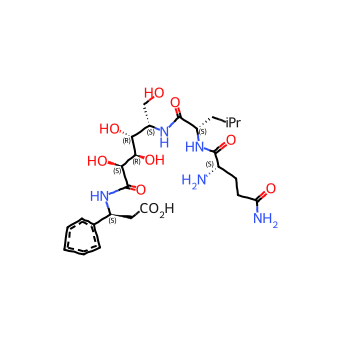 CC(C)C[C@H](NC(=O)[C@@H](N)CCC(N)=O)C(=O)N[C@@H](CO)[C@@H](O)[C@@H](O)[C@H](O)C(=O)N[C@@H](CC(=O)O)c1ccccc1